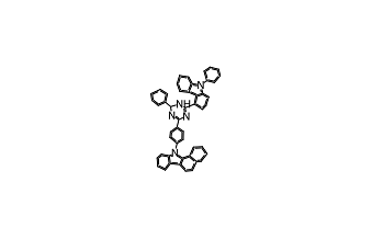 c1ccc(C2N=C(c3ccc(-n4c5ccccc5c5ccc6ccccc6c54)cc3)N=C(c3cccc4c3c3ccccc3n4-c3ccccc3)N2)cc1